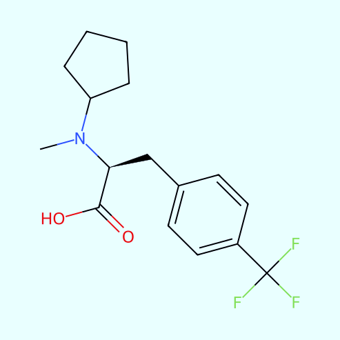 CN(C1CCCC1)[C@@H](Cc1ccc(C(F)(F)F)cc1)C(=O)O